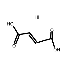 I.O=C(O)/C=C/C(=O)O